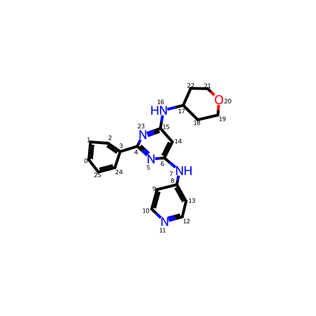 c1ccc(-c2nc(Nc3ccncc3)cc(NC3CCOCC3)n2)cc1